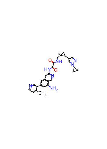 Cc1ccncc1-c1cc(N)c2cnc(NC(=O)C(=O)NC[C@H]3CC3c3cnn(C4CC4)c3)cc2c1